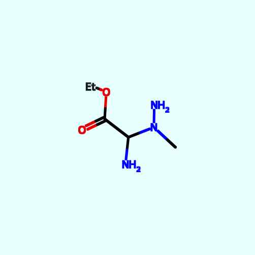 CCOC(=O)C(N)N(C)N